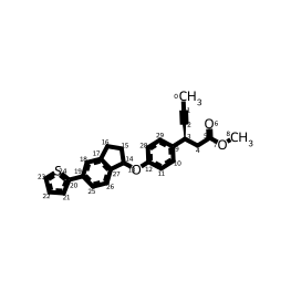 CC#C[C@@H](CC(=O)OC)c1ccc(OC2CCc3cc(-c4cccs4)ccc32)cc1